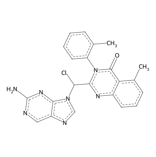 Cc1ccccc1-n1c(C(Cl)n2cnc3cnc(N)nc32)nc2cccc(C)c2c1=O